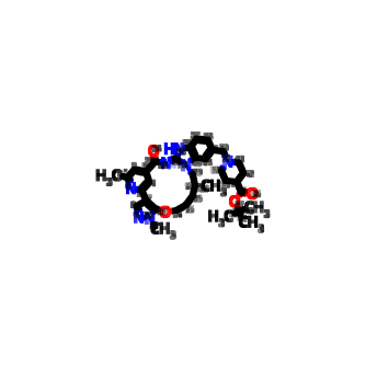 Cc1cc2cc(n1)-c1cnn(C)c1OCCC[C@@H](C)CN1/C(=N/C2=O)Nc2ccc(CN3CCC(C(=O)OC(C)(C)C)CC3)cc21